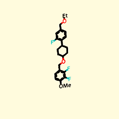 CCOCc1ccc(C2CCC(OCc3ccc(OC)c(F)c3F)CC2)c(F)c1